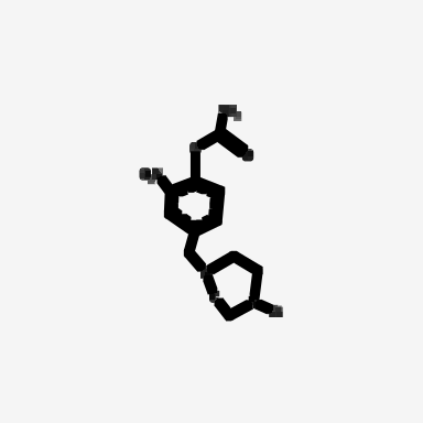 CCN1CCN(Cc2ccc(OC(N)=O)c([N+](=O)[O-])c2)CC1